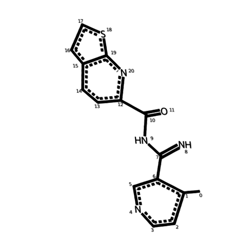 Cc1ccncc1C(=N)NC(=O)c1ccc2ccsc2n1